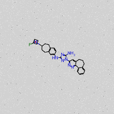 Nc1nc(Nc2ccc3c(c2)CCC(N2CC4(F)CC2C4)CC3)nn1-c1cc2c(nn1)-c1ccccc1CCC2